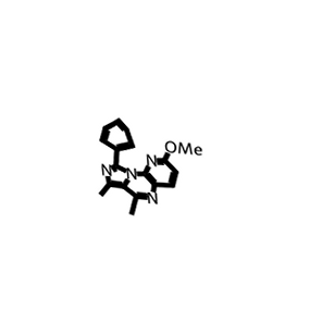 COc1ccc2nc(C)c3c(C)nc(-c4ccccc4)n3c2n1